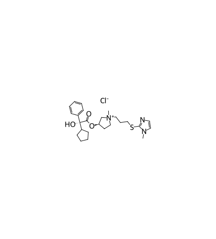 Cn1ccnc1SCCC[N+]1(C)CC[C@@H](OC(=O)[C@](O)(c2ccccc2)C2CCCC2)C1.[Cl-]